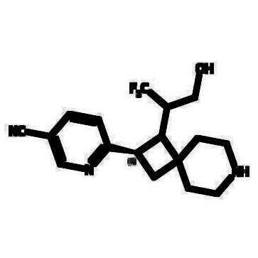 N#Cc1ccc([C@@H]2CC3(CCNCC3)C2C(CO)C(F)(F)F)nc1